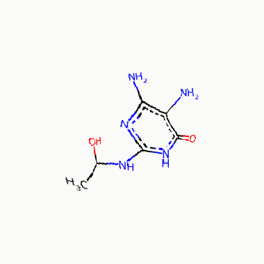 CC(O)Nc1nc(N)c(N)c(=O)[nH]1